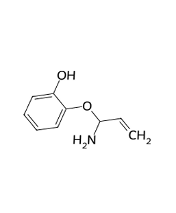 C=CC(N)Oc1ccccc1O